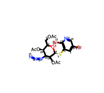 CC(=O)OCC1O[C@H](Sc2cc(Br)cnc2Br)C(OC(C)=O)C(N=[N+]=[N-])[C@H]1OC(C)=O